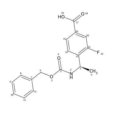 C[C@@H](NC(=O)OCc1ccccc1)c1ccc(C(=O)O)cc1F